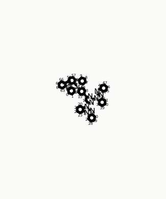 c1ccc([Si](c2ccccc2)(c2ccc(-c3cc(-n4c5ccccc5n5c6ccccc6nc45)nc(-n4c5ccccc5n5c6ccccc6nc45)n3)cc2)c2cccc3c2oc2ccccc23)cc1